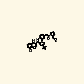 COCC1CCCN1C(=O)Cc1cccc(-n2nc(C(C)(C)C)cc2NC(=O)Nc2cccc(Cl)c2Cl)c1